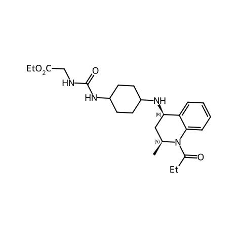 CCOC(=O)CNC(=O)NC1CCC(N[C@@H]2C[C@H](C)N(C(=O)CC)c3ccccc32)CC1